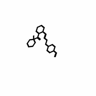 C=CC1CCC(CC/C=C/C2CCCCC2C(=C)C2(C)CCCCC2)CC1